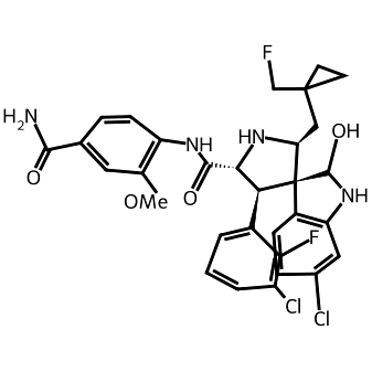 COc1cc(C(N)=O)ccc1NC(=O)[C@@H]1N[C@@H](CC2(CF)CC2)[C@]2(c3ccc(Cl)cc3NC2O)[C@H]1c1cccc(Cl)c1F